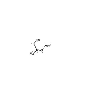 C=COB(O)OO